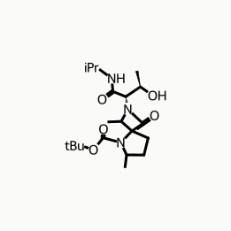 CC(C)NC(=O)[C@H]([C@@H](C)O)N1C(=O)C2(CCC(C)N2C(=O)OC(C)(C)C)C1C